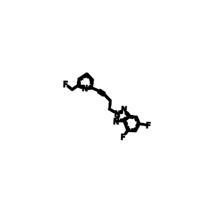 FCc1cccc(C#CCCn2nc3cc(F)cc(F)c3n2)n1